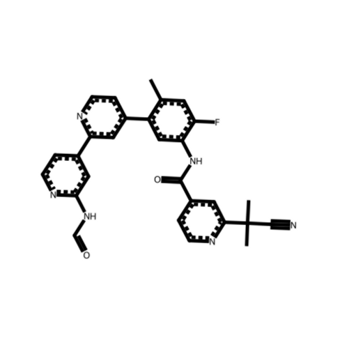 Cc1cc(F)c(NC(=O)c2ccnc(C(C)(C)C#N)c2)cc1-c1ccnc(-c2ccnc(NC=O)c2)c1